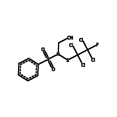 N#CCN(SC(Cl)(Cl)C(F)(Cl)Cl)S(=O)(=O)c1ccccc1